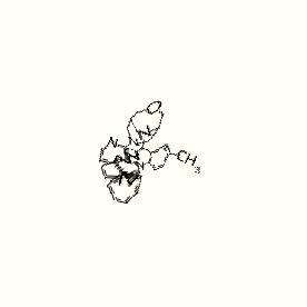 Cc1ccc(-n2nccn2)c(C(=O)N2CC3COCC2CN(c2nccc(-c4ccccc4)n2)C3)c1